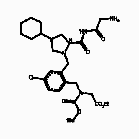 CCOC(=O)CN(Cc1ccc(Cl)cc1CN1CC(C2CCCCC2)C[C@H]1C(=O)NC(=O)CN)C(=O)OC(C)(C)C